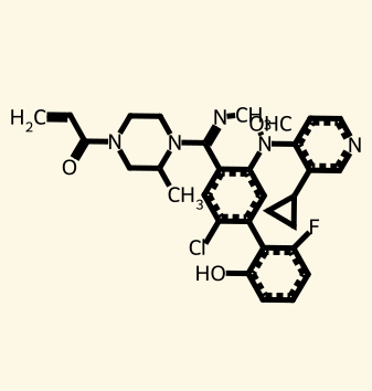 C=CC(=O)N1CCN(/C(=N/C)c2cc(Cl)c(-c3c(O)cccc3F)cc2N(C=O)c2ccncc2C2CC2)C(C)C1